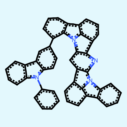 c1ccc(-n2c3ccccc3c3cc(-c4cccc5c6cccc7c8nc9c(cc8n(c45)c67)c4cccc5c6ccccc6n9c54)ccc32)cc1